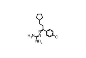 NC(N)=N/N=C(/CCC1CCCC1)c1ccc(Cl)cc1